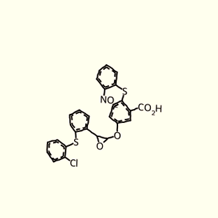 O=C(O)c1cc(OC2OC2c2ccccc2Sc2ccccc2Cl)ccc1Sc1ccccc1[N+](=O)[O-]